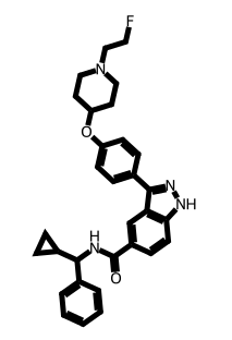 O=C(NC(c1ccccc1)C1CC1)c1ccc2[nH]nc(-c3ccc(OC4CCN(CCF)CC4)cc3)c2c1